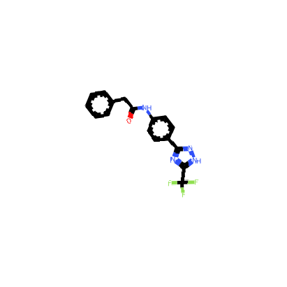 O=C(Cc1ccccc1)Nc1ccc(-c2n[nH]c(C(F)(F)F)n2)cc1